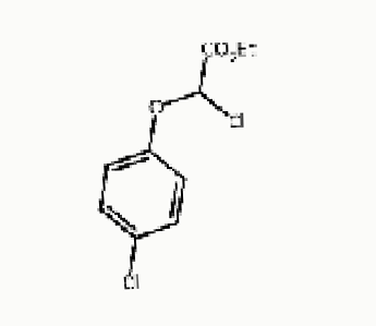 CCOC(=O)C(Cl)Oc1ccc(Cl)cc1